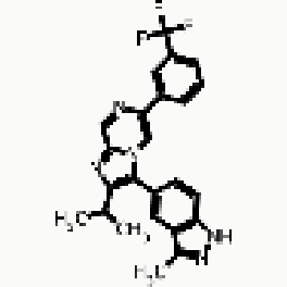 Cc1n[nH]c2ccc(-c3c(C(C)C)nc4cnc(-c5cccc(C(F)(F)F)c5)cn34)cc12